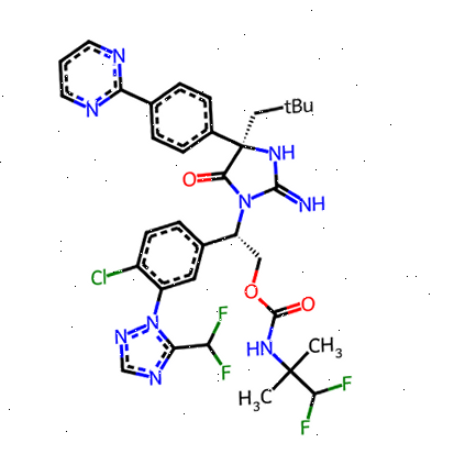 CC(C)(C)C[C@]1(c2ccc(-c3ncccn3)cc2)NC(=N)N([C@H](COC(=O)NC(C)(C)C(F)F)c2ccc(Cl)c(-n3ncnc3C(F)F)c2)C1=O